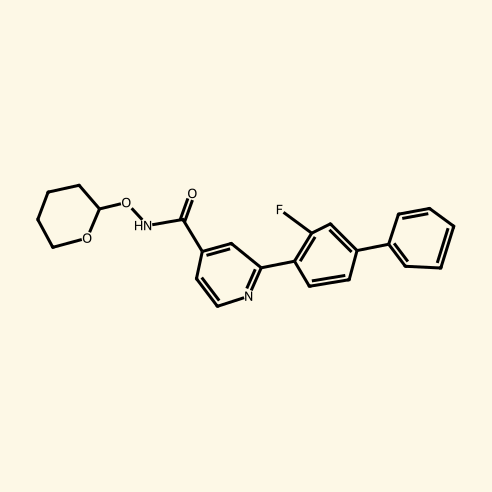 O=C(NOC1CCCCO1)c1ccnc(-c2ccc(-c3ccccc3)cc2F)c1